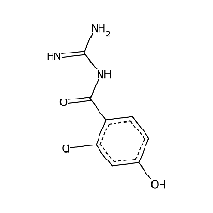 N=C(N)NC(=O)c1ccc(O)cc1Cl